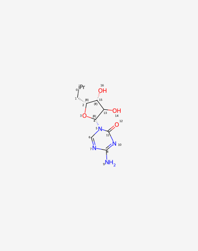 CC(C)C[C@H]1O[C@@H](n2cnc(N)nc2=O)C(O)[C@H]1O